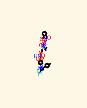 Cc1ccc(-c2cc(C(F)(F)F)nn2-c2ccc(S(=O)(=O)NC(=O)OCCN(C(C)C)/[N+]([O-])=N/OCN3C(=O)c4ccccc4C3=O)cc2)cc1